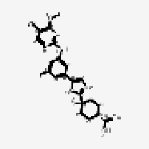 COc1nc(Nc2cc(C)cc(-c3cnc([C@]4(O)CC[C@H](C(=O)O)CC4)s3)c2)ncc1Cl